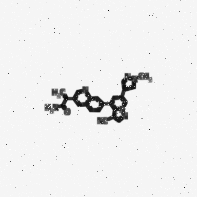 C=C(C(N)=O)c1cnc2cc(-c3cc(-c4cnn(C)c4)cn4ncc(C#N)c34)ccc2c1